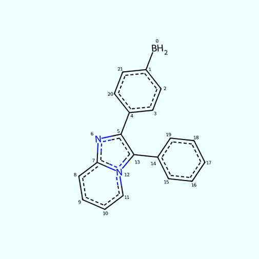 Bc1ccc(-c2nc3ccccn3c2-c2ccccc2)cc1